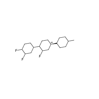 CC1CCC([C@@H]2CCC(C3CCC(F)C(F)C3)C(F)C2)CC1